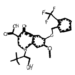 COc1cc2c(cc1OCc1ccccc1C(F)(F)F)c(=O)c(C(=O)O)cn2C(CO)C(C)(C)C